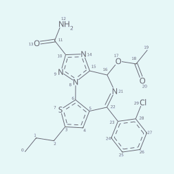 CCCc1cc2c(s1)-n1nc(C(N)=O)nc1C(OC(C)=O)N=C2c1ccccc1Cl